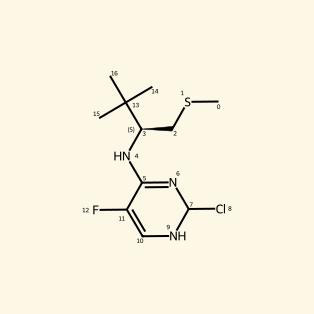 CSC[C@@H](NC1=NC(Cl)NC=C1F)C(C)(C)C